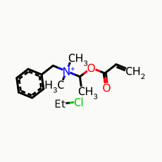 C=CC(=O)OC(C)[N+](C)(C)Cc1ccccc1.CCCl